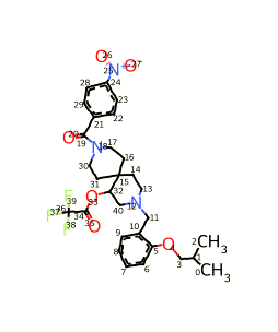 CC(C)COc1ccccc1CN1CCC2(CCN(C(=O)c3ccc([N+](=O)[O-])cc3)CC2)C(OC(=O)C(F)(F)F)C1